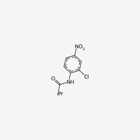 CC(C)C(=O)Nc1ccc([N+](=O)[O-])cc1Cl